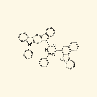 c1ccc(-c2nc(-c3cc4ccccc4c4c3oc3ccccc34)nc(-n3c4ccccc4c4cc5c6ccccc6n(-c6ccccc6)c5cc43)n2)cc1